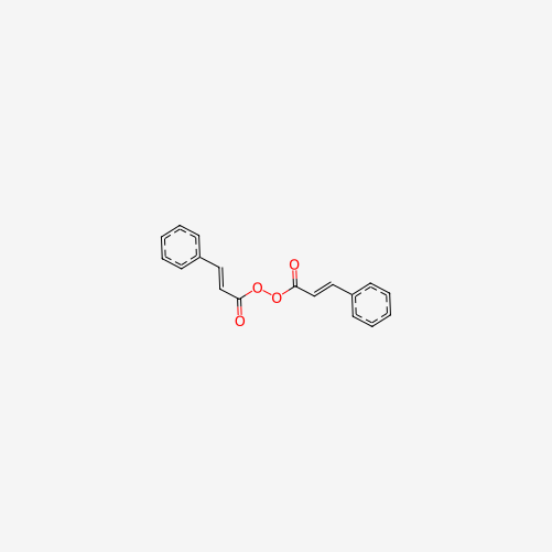 O=C(C=Cc1ccccc1)OOC(=O)C=Cc1ccccc1